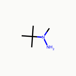 CN(N)C(C)(C)C